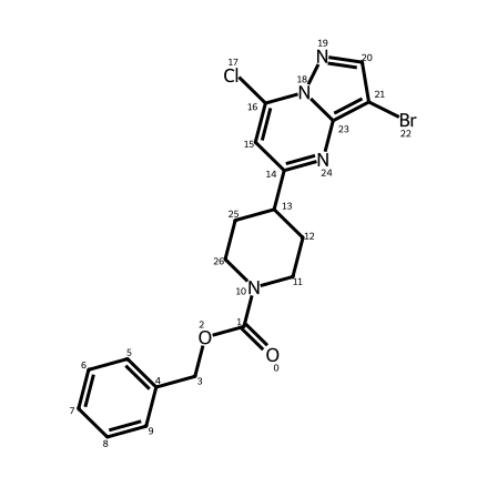 O=C(OCc1ccccc1)N1CCC(c2cc(Cl)n3ncc(Br)c3n2)CC1